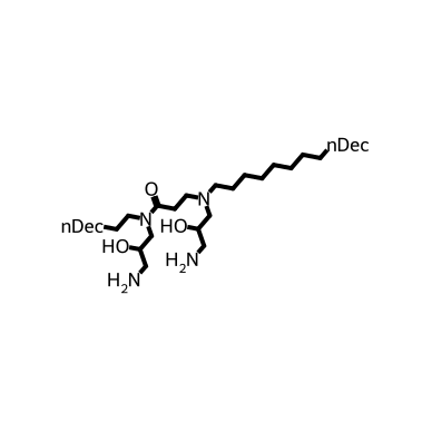 CCCCCCCCCCCCCCCCCCN(CCC(=O)N(CCCCCCCCCCCC)CC(O)CN)CC(O)CN